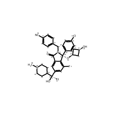 CC[C@@](O)(c1cc(F)c2c(c1)C(=O)N(Cc1ccc(C#N)cc1)[C@@]2(O[C@H]1C[C@@H](O)C1)c1ccc(Cl)cc1)C1CCN(C)CC1